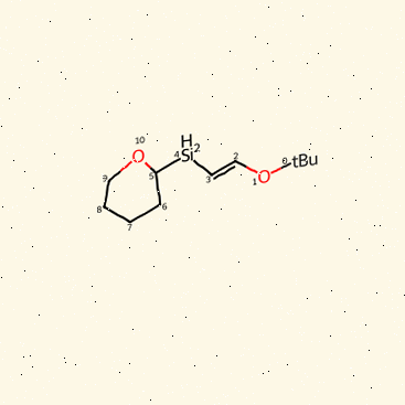 CC(C)(C)OC=C[SiH2]C1CCCCO1